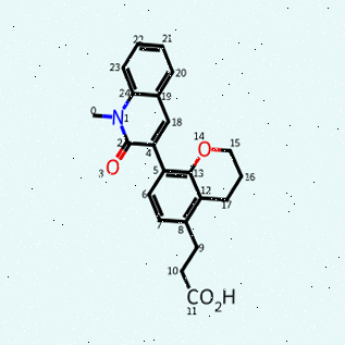 Cn1c(=O)c(-c2ccc(CCC(=O)O)c3c2OCCC3)cc2ccccc21